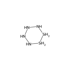 N1NN[SiH2][SiH2]N1